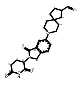 O=CC1CCC2(CCN(c3ccc4c(c3)C(=O)N(C3CCC(=O)NC3=O)C4)CC2)C1